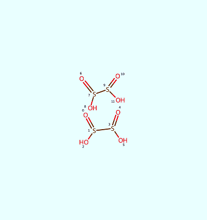 O=S(O)S(=O)O.O=S(O)S(=O)O